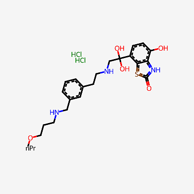 CCCOCCCNCc1cccc(CCNCC(O)(O)c2ccc(O)c3[nH]c(=O)sc23)c1.Cl.Cl